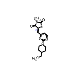 CCC1CCN(c2nccc(/C=C3\SC(=O)N(N)C3=O)n2)CC1